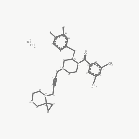 Cc1ccc(C[C@@H]2CN(CC#CCN3CCOCC34CC4)CCN2C(=O)c2cc(C(F)(F)F)cc(C(F)(F)F)c2)cc1C.Cl.Cl